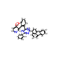 c1ccc(-c2nc(-c3ccc4c5c(cccc35)-c3ccccc3-4)nc(-c3cccc4oc5ccncc5c34)n2)cc1